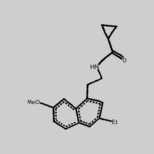 CCc1cc(CCNC(=O)C2CC2)c2cc(OC)ccc2c1